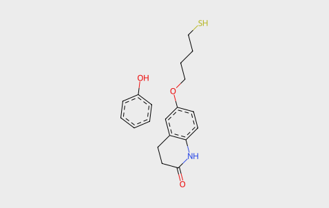 O=C1CCc2cc(OCCCCS)ccc2N1.Oc1ccccc1